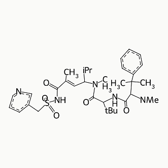 CNC(C(=O)NC(C(=O)N(C)C(C=C(C)C(=O)NS(=O)(=O)Cc1cccnc1)C(C)C)C(C)(C)C)C(C)(C)c1ccccc1